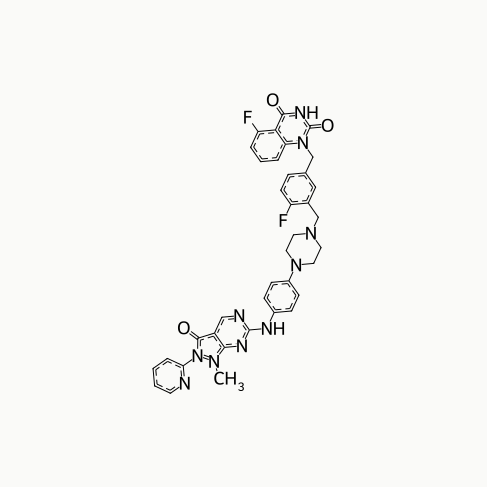 Cn1c2nc(Nc3ccc(N4CCN(Cc5cc(Cn6c(=O)[nH]c(=O)c7c(F)cccc76)ccc5F)CC4)cc3)ncc2c(=O)n1-c1ccccn1